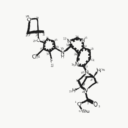 CC(C)(C)OC(=O)N1C[C@@H]2C[C@H]1CN2c1ccc2ncnc(Nc3ccc(OC4(C)COC4)c(Cl)c3F)c2n1